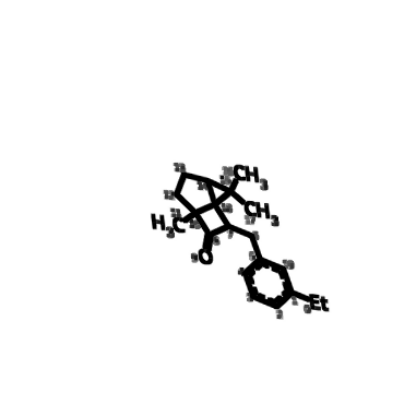 CCc1cccc(CC2C(=O)C3(C)CCC4C(C)(C)C243)c1